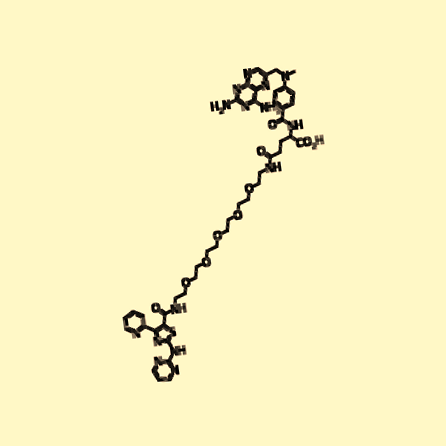 CN(Cc1cnc2nc(N)nc(N)c2n1)c1ccc(C(=O)NC(CCC(=O)NCCOCCOCCOCCOCCOCCNC(=O)c2sc(Nc3ncccn3)nc2-c2ccccn2)C(=O)O)cc1